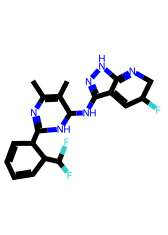 CC1=C(C)C(Nc2n[nH]c3c2=CC(F)CN=3)NC(C2C=CC=CC2C(F)F)=N1